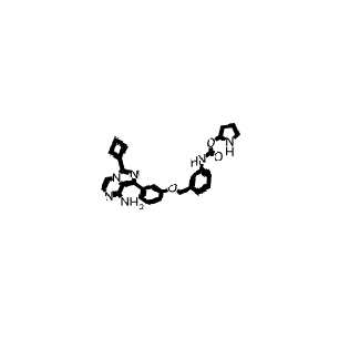 Nc1nccn2c(C3CCC3)nc(-c3cccc(OCc4cccc(NC(=O)OC5CCCN5)c4)c3)c12